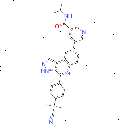 CC(C)NC(=O)c1cncc(-c2ccc3nc(-c4ccc(C(C)(C)C#N)cc4)c4[nH]ncc4c3c2)c1